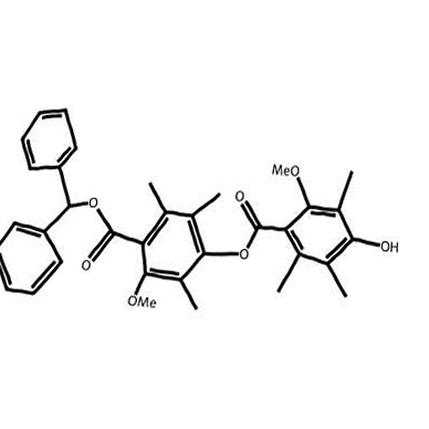 COc1c(C)c(O)c(C)c(C)c1C(=O)Oc1c(C)c(C)c(C(=O)OC(c2ccccc2)c2ccccc2)c(OC)c1C